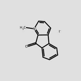 C[n+]1cccc2c1C(=O)c1ccccc1-2.[I-]